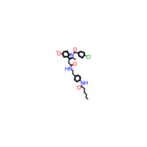 CCCCCC(=O)Nc1ccc(CCNC(=O)Cc2c(C)n(C(=O)c3ccc(Cl)cc3)c3ccc(OC)cc23)cc1